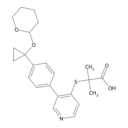 CC(C)(Sc1ccncc1-c1ccc(C2(OC3CCCCO3)CC2)cc1)C(=O)O